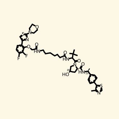 Cc1ncsc1-c1ccc([C@H](C)NC(=O)[C@@H]2C[C@@H](O)CN2C(=O)C(NC(=O)CCCCCCNC(=O)COc2c(-c3csc(N4CCOCC4)n3)ccc(F)c2F)C(C)(C)C)cc1